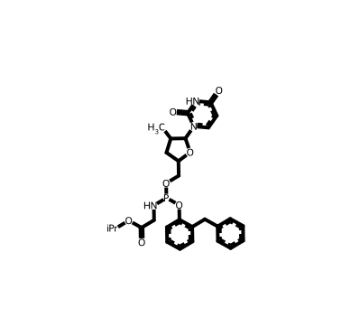 CC(C)OC(=O)CNP(OCC1CC(C)C(n2ccc(=O)[nH]c2=O)O1)Oc1ccccc1Cc1ccccc1